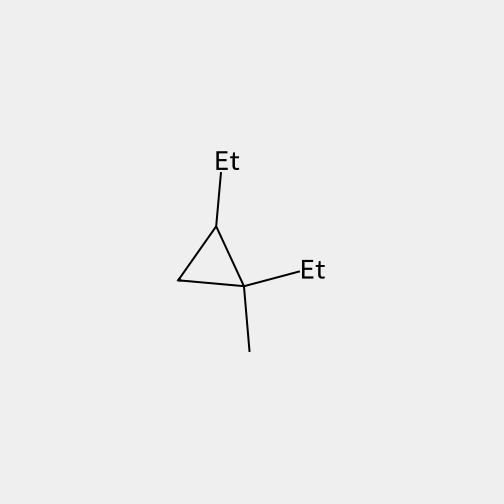 CCC1CC1(C)CC